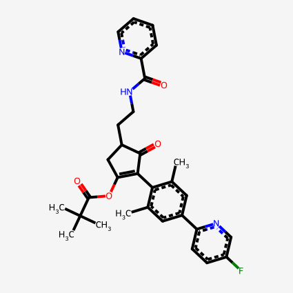 Cc1cc(-c2ccc(F)cn2)cc(C)c1C1=C(OC(=O)C(C)(C)C)CC(CCNC(=O)c2ccccn2)C1=O